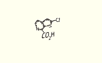 O=C(O)c1nccc2cc(Cl)sc12